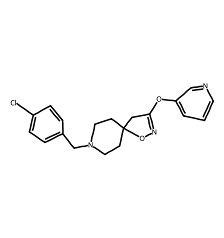 Clc1ccc(CN2CCC3(CC2)CC(Oc2cccnc2)=NO3)cc1